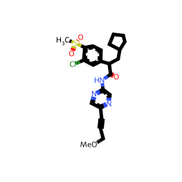 COCC#Cc1cnc(NC(=O)C(CC2CCCC2)c2ccc(S(C)(=O)=O)c(Cl)c2)cn1